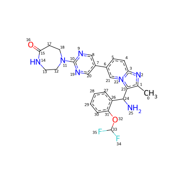 Cc1nc2ccc(-c3cnc(N4CCNC(=O)CC4)nc3)cn2c1C(N)c1ccccc1OC(F)F